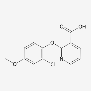 COc1ccc(Oc2ncccc2C(=O)O)c(Cl)c1